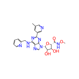 CONC(=O)[C@H]1O[C@@H](n2cnc3c(NCc4ccccn4)nc(-c4cncc(C)c4)nc32)[C@H](O)[C@@H]1O